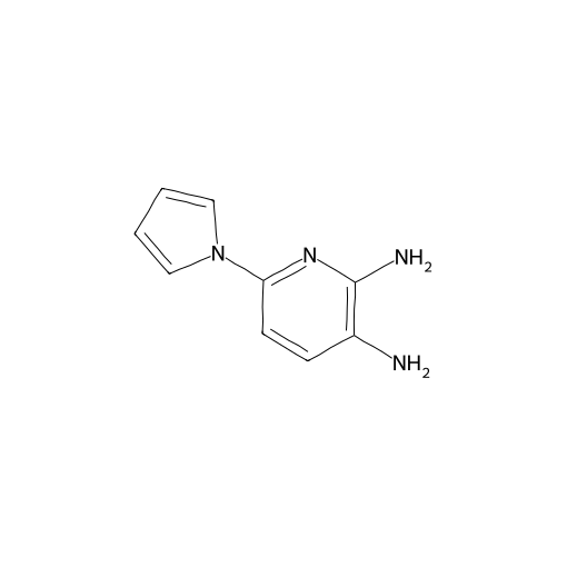 Nc1ccc(-n2cccc2)nc1N